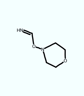 N=CON1CCOCC1